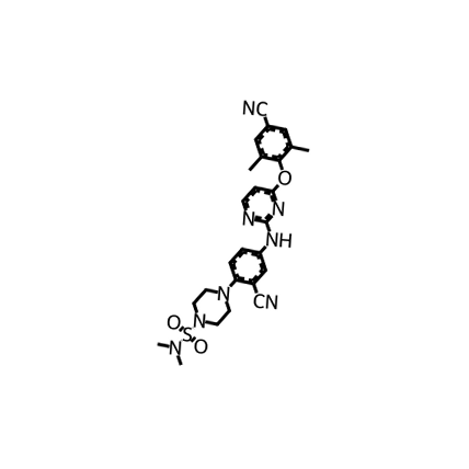 Cc1cc(C#N)cc(C)c1Oc1ccnc(Nc2ccc(N3CCN(S(=O)(=O)N(C)C)CC3)c(C#N)c2)n1